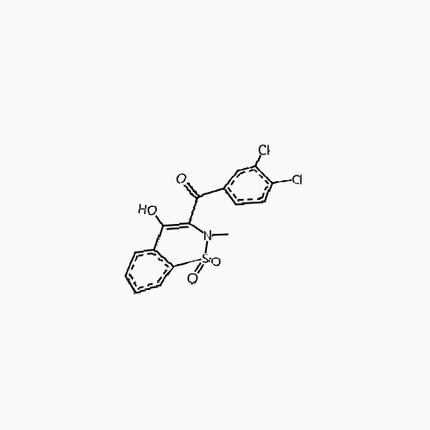 CN1C(C(=O)c2ccc(Cl)c(Cl)c2)=C(O)c2ccccc2S1(=O)=O